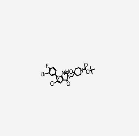 CC(C)(C)OC(=O)N1CCC(O)(Cn2cnc3c(cc(Cl)n3-c3ccc(F)c(Br)c3)c2=O)CC1